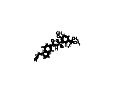 COc1ccc(C(C)(C)C)cc1S(=O)(=O)NC(=O)c1ccc2c(ccn2CC#N)c1